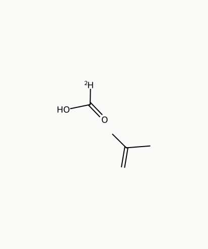 C=C(C)C.[2H]C(=O)O